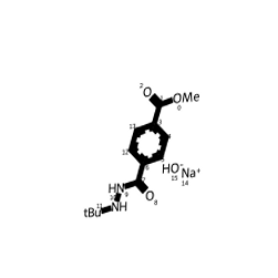 COC(=O)c1ccc(C(=O)NNC(C)(C)C)cc1.[Na+].[OH-]